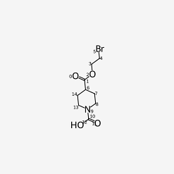 O=C(OCCBr)C1CCN(C(=O)O)CC1